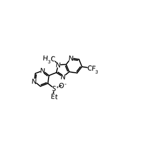 CC[S+]([O-])c1cncnc1-c1nc2cc(C(F)(F)F)cnc2n1C